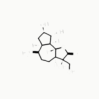 C=C1CC[C@H]2[C@@H](OC(=O)[C@]2(O)CO)[C@@H]2[C@@H](C)[C@H](O)C[C@H]12